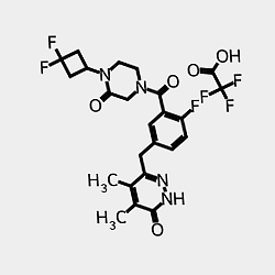 Cc1c(Cc2ccc(F)c(C(=O)N3CCN(C4CC(F)(F)C4)C(=O)C3)c2)n[nH]c(=O)c1C.O=C(O)C(F)(F)F